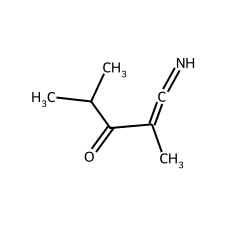 CC(=C=N)C(=O)C(C)C